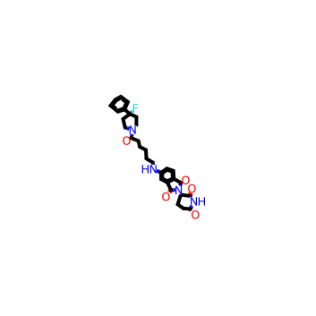 O=C1CCC(N2C(=O)c3ccc(NCCCCCC(=O)N4CCC(F)(c5ccccc5)CC4)cc3C2=O)C(=O)N1